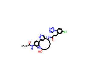 COC(=O)Nc1ccc2c(c1)NC(O)CCCCCC(NC(=O)/C=C/c1cc(Cl)ccc1-n1cnnn1)c1cnnc-2c1